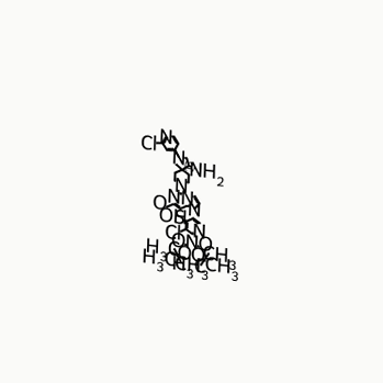 CC(C)(C)OC(=O)N(C(=O)OC(C)(C)C)c1nccc(Sc2c(C(=O)O)nc(N3CCC4(CC3)CN(c3ccnc(Cl)c3)C[C@H]4N)n3ccnc23)c1Cl